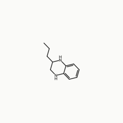 CCCC1CNc2ccccc2N1